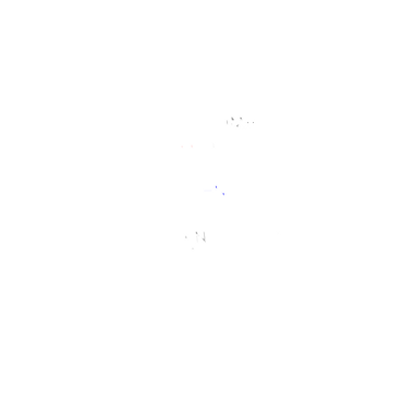 COC(=O)CNc1ccc(C)cc1[N+](=O)[O-]